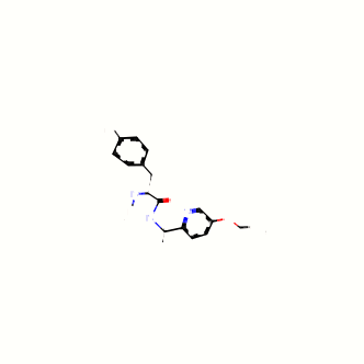 C[C@@H](NC(=O)[C@H](Cc1ccc(C(F)(F)F)cc1)NC(=O)O)c1ccc(OCC(F)(F)F)cn1